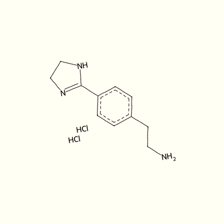 Cl.Cl.NCCc1ccc(C2=NCCN2)cc1